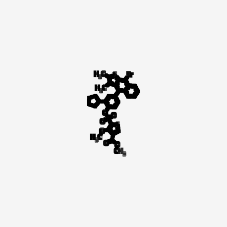 COC(=O)c1csc(S(=O)(=O)Oc2ccc(-c3c4ccccc4c(Br)c4sc(C)c(C)c34)cc2C2CCCC2)c1OC